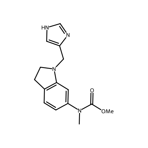 COC(=O)N(C)c1ccc2c(c1)N(Cc1c[nH]cn1)CC2